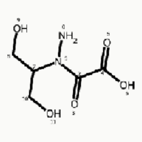 NN(C(=O)C(=O)O)C(CO)CO